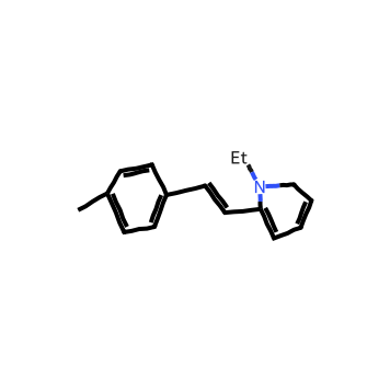 CCN1CC=CC=C1/C=C/c1ccc(C)cc1